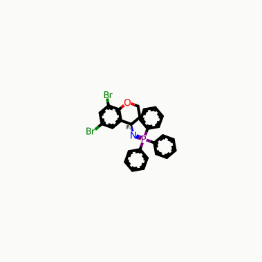 Brc1cc(Br)c2c(c1)[C@H](N=P(c1ccccc1)(c1ccccc1)c1ccccc1)CCO2